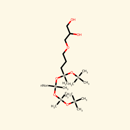 CCCCCCCCC[Si](C)(O[Si](C)(C)O[Si](C)(C)C)O[Si](C)(CCCOCC(O)CO)O[Si](C)(C)C